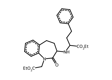 CCOC(=O)CN1C(=O)C(NC(CCc2ccccc2)C(=O)OCC)CCc2ccccc21